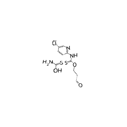 NC(O)=S.O=CCCOC(=S)Nc1ccc(Cl)cn1